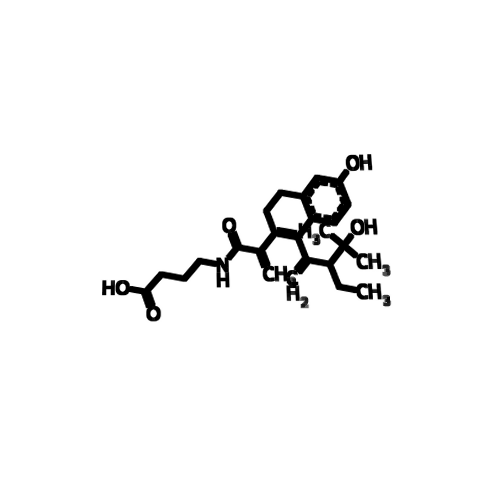 C=C(C(=O)NCCCC(=O)O)C1=C(C(=C)C(CC)C(C)(C)O)c2ccc(O)cc2CC1